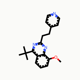 COc1cccc2c(C(C)(C)C)nc(CCc3ccncc3)nc12